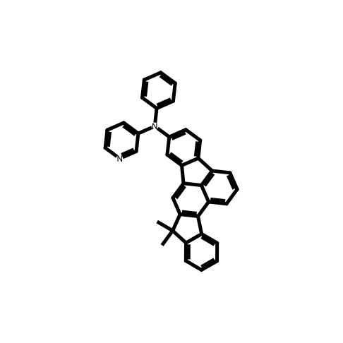 CC1(C)c2ccccc2-c2c1cc1c3c(cccc23)-c2ccc(N(c3ccccc3)c3cccnc3)cc2-1